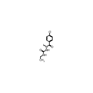 CCNC(=O)NN(I)C(=O)c1ccc(Cl)cc1